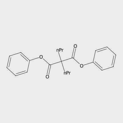 CCCC(CCC)(C(=O)Oc1ccccc1)C(=O)Oc1ccccc1